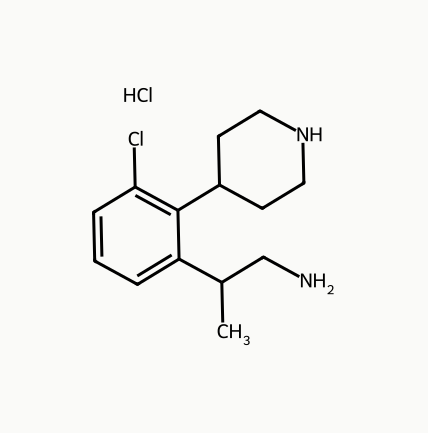 CC(CN)c1cccc(Cl)c1C1CCNCC1.Cl